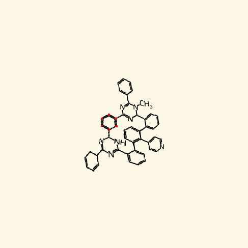 CN1C(c2ccccc2)=NC(c2ccccc2)=NC1c1ccccc1-c1cccc(-c2ccccc2C2=NC(C3C=CC=CC3)=NC(C3C=CC=CC3)N2)c1-c1ccncc1